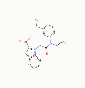 CCc1cccc(N(CC)C(=O)Cn2c(C(=O)O)cc3ccccc32)c1